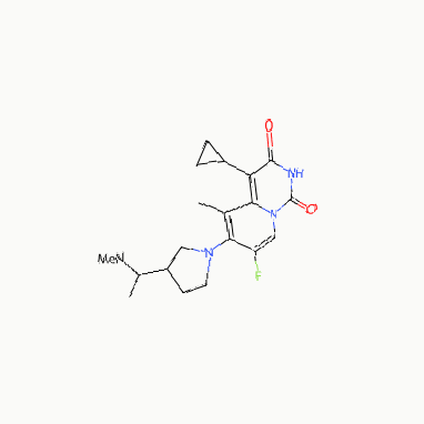 CNC(C)C1CCN(c2c(F)cn3c(=O)[nH]c(=O)c(C4CC4)c3c2C)C1